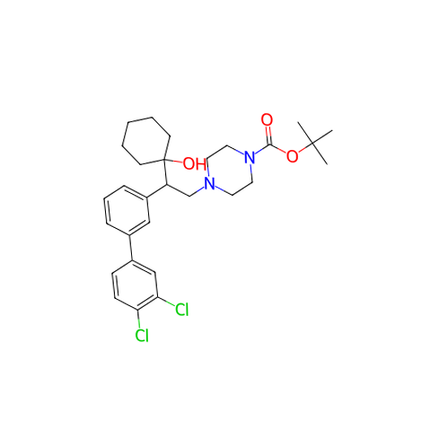 CC(C)(C)OC(=O)N1CCN(CC(c2cccc(-c3ccc(Cl)c(Cl)c3)c2)C2(O)CCCCC2)CC1